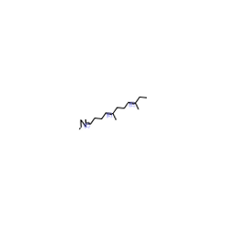 CC/C(C)=C/CC/C(C)=C/CC/C=N/C